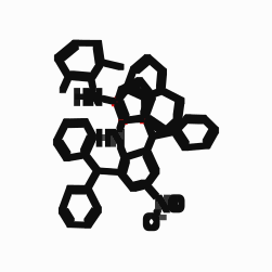 Cc1cccc(C)c1NC1c2cccc3cccc(c23)C1Nc1c(C(c2ccccc2)c2ccccc2)cc([N+](=O)[O-])cc1C(c1ccccc1)c1ccccc1